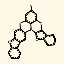 Cc1cc2c3c(c1)Oc1c(oc4ccccc14)P3c1cc3c(cc1O2)oc1ccccc13